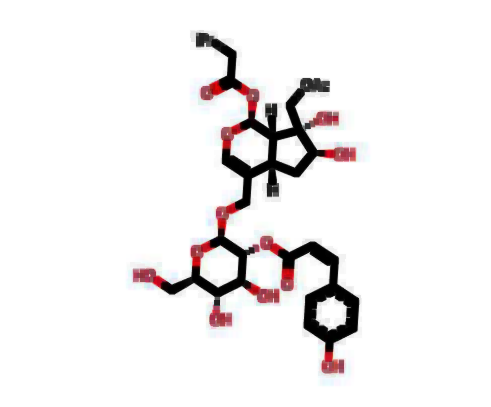 CC(=O)OC[C@]1(O)[C@H]2[C@H](OC(=O)CC(C)C)OC=C(CO[C@@H]3O[C@H](CO)[C@@H](O)[C@H](O)[C@H]3OC(=O)/C=C\c3ccc(O)cc3)[C@H]2C[C@@H]1O